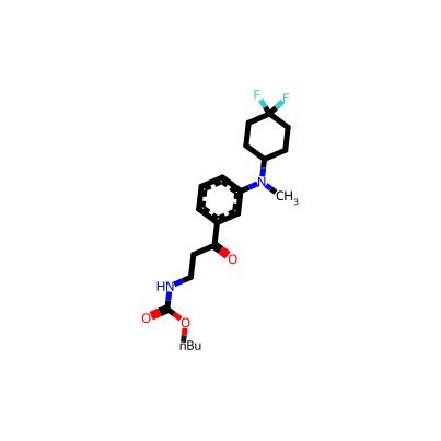 CCCCOC(=O)NCCC(=O)c1cccc(N(C)C2CCC(F)(F)CC2)c1